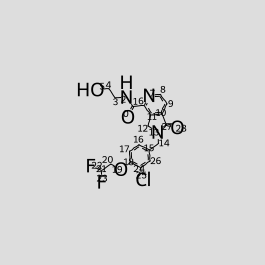 O=C(NCCO)c1nccc2c1CN(Cc1ccc(OCC(F)F)c(Cl)c1)C2=O